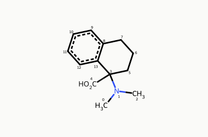 CN(C)C1(C(=O)O)CCCc2ccccc21